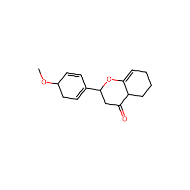 COC1C=CC(C2CC(=O)C3CCCC=C3O2)=CC1